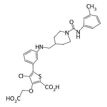 Cc1cccc(NC(=O)N2CCC(CNc3cccc(-c4sc(C(=O)O)c(OCC(=O)O)c4Cl)c3)CC2)c1